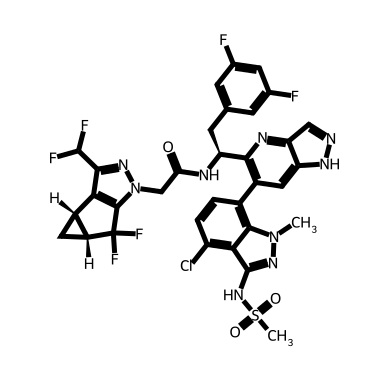 Cn1nc(NS(C)(=O)=O)c2c(Cl)ccc(-c3cc4[nH]ncc4nc3[C@H](Cc3cc(F)cc(F)c3)NC(=O)Cn3nc(C(F)F)c4c3C(F)(F)[C@@H]3C[C@H]43)c21